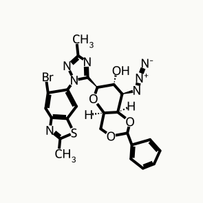 Cc1nc([C@@H]2O[C@@H]3COC(c4ccccc4)O[C@@H]3[C@H](N=[N+]=[N-])[C@H]2O)n(-c2cc3sc(C)nc3cc2Br)n1